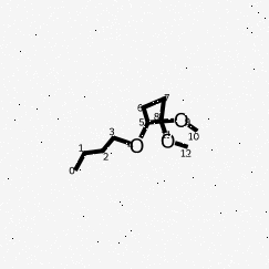 CCCCOC1CCC1(OC)OC